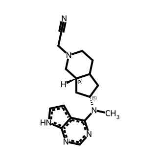 CN(c1ncnc2[nH]ccc12)[C@H]1CC2CCN(CC#N)C[C@H]2C1